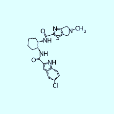 CN1Cc2nc(C(=O)N[C@@H]3CCCC[C@@H]3NC(=O)c3cc4cc(Cl)ccc4[nH]3)sc2C1